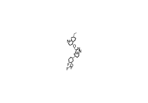 CCc1ccc2c(OCc3nnc4ccc(-c5cccc(OC(F)(F)F)c5)cn34)ccnc2c1